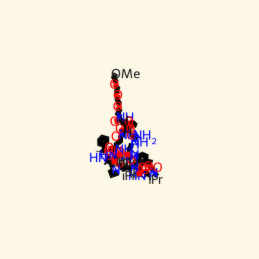 CC[C@H](C)[C@@H]([C@@H](CC(=O)N1CCC[C@H]1[C@H](OC)[C@@H](C)C(=O)N[C@H](C)[C@@H](O)c1ccccc1)OC)N(C)C(=O)[C@@H](NC(=O)[C@H](C(C)C)N(C)C(=O)OCc1ccc(NC(=O)[C@H](CCCNC(N)=O)NC(=O)[C@@H](NC(=O)[C@@H](N)CCC(=O)NC2O[C@H](C(=O)NCCOCCOCCOCCOC)[C@H]3OC(C)(C)O[C@@H]23)C(C)C)cc1)C(C)C